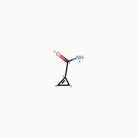 [NH]C(=O)C1=CC1